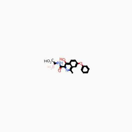 BC(NC(=O)c1nc(C)c2cc(Oc3ccccc3)ccc2c1O)C(=O)O